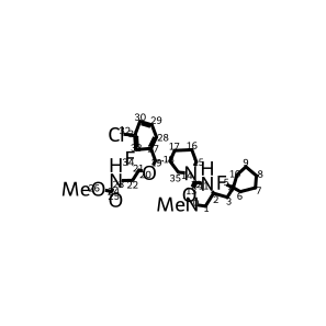 CNCC(CC1(F)CCCCC1)NC(=O)N1CCC[C@@H](C(OCCNC(=O)OC)c2cccc(Cl)c2F)C1